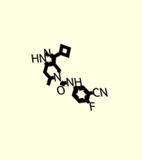 CC1Cc2[nH]nc(C3CCC3)c2CN1C(=O)Nc1ccc(F)c(C#N)c1